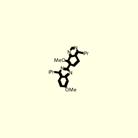 COc1ccc2c(C(C)C)nc(-c3ccc4c(C(C)C)ncnc4c3OC)nc2c1